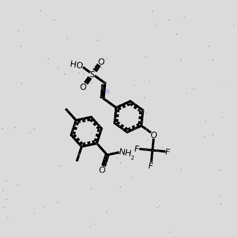 Cc1ccc(C(N)=O)c(C)c1.O=S(=O)(O)/C=C/c1ccc(OC(F)(F)F)cc1